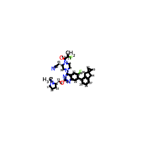 C=C(F)C(=O)N1CCN(c2nc(OC[C@@H]3CCCN3C)nc3cc(-c4cccc5c4CC4(CC4)C5)c(F)cc23)C[C@@H]1CC#N